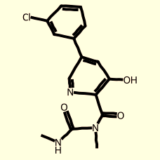 CNC(=O)N(C)C(=O)c1ncc(-c2cccc(Cl)c2)cc1O